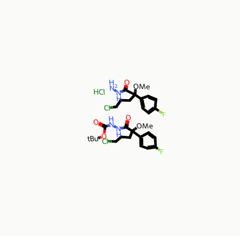 COC(CCCCl)(C(=O)NN)c1ccc(F)cc1.COC(CCCCl)(C(=O)NNC(=O)OC(C)(C)C)c1ccc(F)cc1.Cl